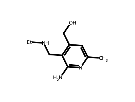 CCNCc1c(CO)cc(C)nc1N